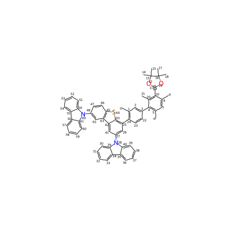 Cc1cc(-c2c(C)cc(C)c(B3OC(C)(C)C(C)(C)O3)c2C)ccc1-c1cc(-n2c3ccccc3c3ccccc32)cc2c1sc1ccc(-n3c4ccccc4c4ccccc43)cc12